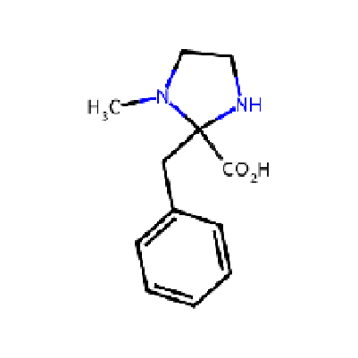 CN1CCNC1(Cc1ccccc1)C(=O)O